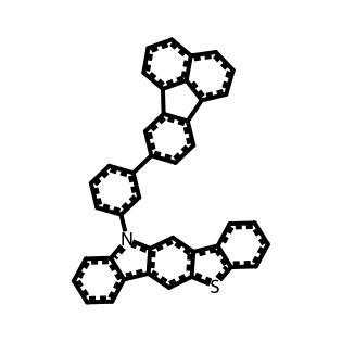 c1cc(-c2ccc3c(c2)-c2cccc4cccc-3c24)cc(-n2c3ccccc3c3cc4sc5ccccc5c4cc32)c1